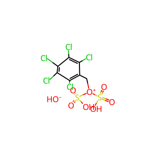 O=S(=O)(O)[O+](Cc1c(Cl)c(Cl)c(Cl)c(Cl)c1Cl)S(=O)(=O)O.[OH-]